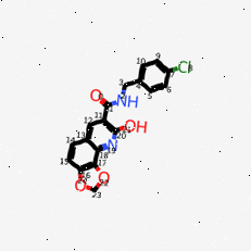 O=C(NCc1ccc(Cl)cc1)c1cc2ccc3c(c2nc1O)OCO3